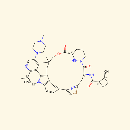 CCn1c(-c2cc(N3CCN(C)CC3)cnc2[C@H](C)OC)c2c3cc(ccc31)-c1csc(n1)C[C@H](NC(=O)[C@H]1CC[C@@H]1C#N)C(=O)N1CCC[C@@](C)(N1)C(=O)OCC(C)(C)C2